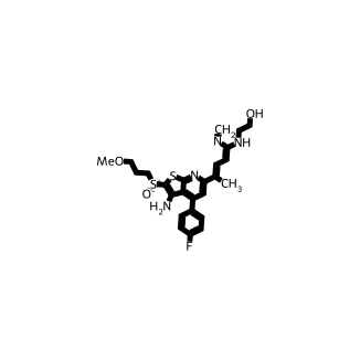 C=N/C(=C\C=C(/C)c1cc(-c2ccc(F)cc2)c2c(N)c([S+]([O-])CCCOC)sc2n1)NCCO